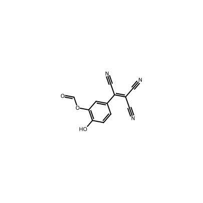 N#CC(C#N)=C(C#N)c1ccc(O)c(OC=O)c1